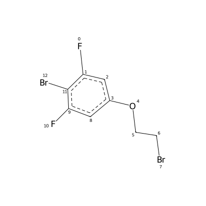 Fc1cc(OCCBr)cc(F)c1Br